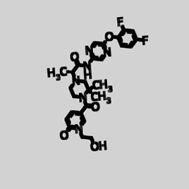 C[C@@H](C(=O)Nc1cnc(Oc2ccc(F)cc2F)cn1)N1CCN(C(=O)c2ccc(=O)n(CCO)c2)C(C)(C)C1